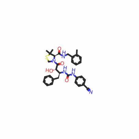 Cc1ccccc1CNC(=O)[C@H]1N(C(=O)[C@@H](O)[C@H](Cc2ccccc2)NC(=O)Nc2ccc(C#N)cc2)CSC1(C)C